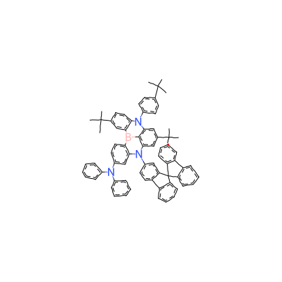 CC(C)(C)c1ccc(N2c3ccc(C(C)(C)C)cc3B3c4ccc(N(c5ccccc5)c5ccccc5)cc4N(c4ccc5c(c4)C4(c6ccccc6-c6ccccc64)c4ccccc4-5)c4cc(C(C)(C)C)cc2c43)cc1